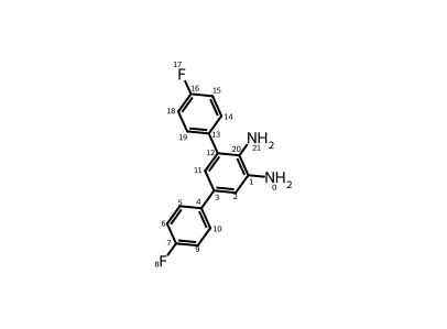 Nc1cc(-c2ccc(F)cc2)cc(-c2ccc(F)cc2)c1N